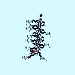 C#COO[Si](CCCN)(OCC)O[Si](CCCN)(OCC)O[Si](CCCN)(OCC)O[Si](CCCN)(OCC)O[Si](CCCN)(OCC)O[Si](CCCN)(OCC)O[Si](CCCN)(OCC)O[Si](CCCN)(OCC)O[Si](CCCN)(OCC)O[SiH](CCCN)OCC